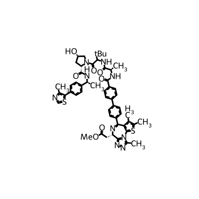 COC(=O)C[C@@H]1N=C(c2ccc(-c3ccc(C(=O)N[C@H](C)C(=O)NC(C(=O)N4C[C@H](O)C[C@H]4C(=O)N[C@@H](C)c4ccc(-c5scnc5C)cc4)C(C)(C)C)cc3)cc2)c2c(sc(C)c2C)-n2c(C)nnc21